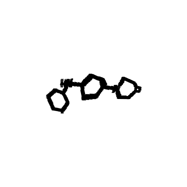 [CH]1CCCC(Nc2ccc(N3CCOCC3)cc2)C1